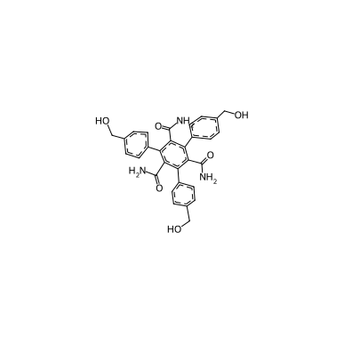 NC(=O)c1c(-c2ccc(CO)cc2)c(C(N)=O)c(-c2ccc(CO)cc2)c(C(N)=O)c1-c1ccc(CO)cc1